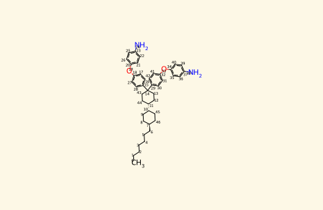 CCCCCCC[C@H]1CC[C@H](C2CCC(c3ccc(Oc4ccc(N)cc4)cc3)(c3ccc(Oc4ccc(N)cc4)cc3)CC2)CC1